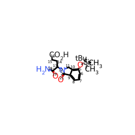 CC(C)(C)[Si](C)(C)Oc1cccc2c1CN(C(CCC(=O)O)C(N)=O)C2=O